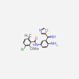 COc1c(Br)ccc(C)c1C(=O)Nc1ccc(N)c(C(=N)c2cnco2)c1